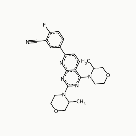 CC1COCCN1c1nc(N2CCOCC2C)c2ccc(-c3ccc(F)c(C#N)c3)nc2n1